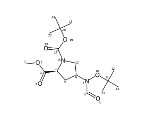 COC(=O)[C@@H]1CC(N(C=O)OC(C)(C)C)CN1C(=O)OC(C)(C)C